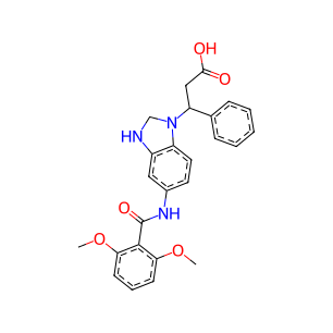 COc1cccc(OC)c1C(=O)Nc1ccc2c(c1)NCN2C(CC(=O)O)c1ccccc1